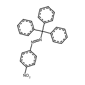 O=[N+]([O-])c1ccc(N=NC(c2ccccc2)(c2ccccc2)c2ccccc2)cc1